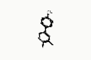 CC1=C(C)CCC(c2ccc(C#N)cc2)=C1